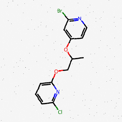 CC(COc1cccc(Cl)n1)Oc1ccnc(Br)c1